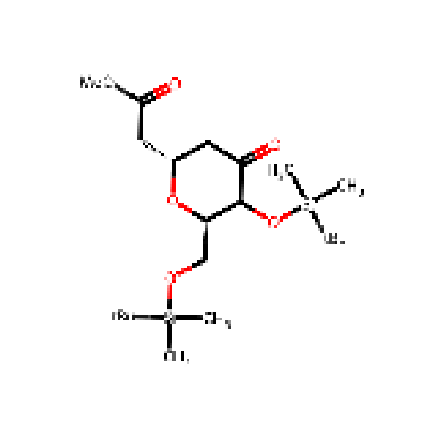 COC(=O)C[C@@H]1CC(=O)C(O[Si](C)(C)C(C)(C)C)[C@@H](CO[Si](C)(C)C(C)(C)C)O1